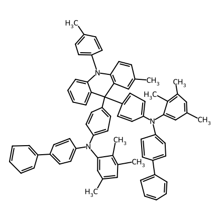 Cc1ccc(N2c3ccccc3C(c3ccc(N(c4ccc(-c5ccccc5)cc4)c4cc(C)cc(C)c4C)cc3)(c3ccc(N(c4ccc(-c5ccccc5)cc4)c4cc(C)cc(C)c4C)cc3)c3cc(C)ccc32)cc1